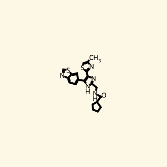 Cc1csc(-c2nc(CNC(=O)C3CCCC3)[nH]c2-c2ccc3ncsc3c2)n1